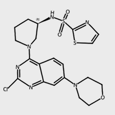 O=S(=O)(N[C@@H]1CCCN(c2nc(Cl)nc3cc(N4CCOCC4)ccc23)C1)c1nccs1